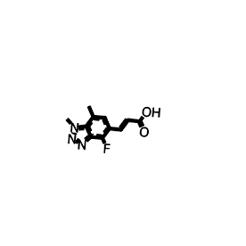 Cc1cc(/C=C/C(=O)O)c(F)c2nnn(C)c12